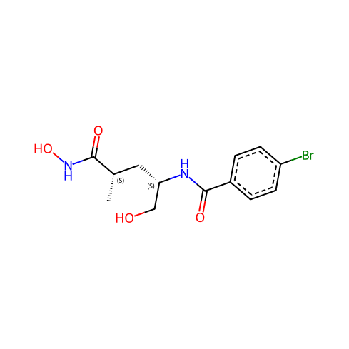 C[C@@H](C[C@@H](CO)NC(=O)c1ccc(Br)cc1)C(=O)NO